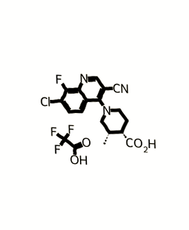 C[C@@H]1CN(c2c(C#N)cnc3c(F)c(Cl)ccc23)CC[C@@H]1C(=O)O.O=C(O)C(F)(F)F